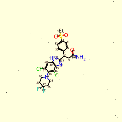 CCS(=O)(=O)c1ccc(C(CC(N)=O)c2nc3c(Cl)c(N4CCC(F)(F)CC4)c(Cl)cc3[nH]2)cc1